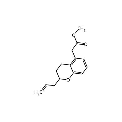 C=CCC1CCc2c(CC(=O)OC)cccc2O1